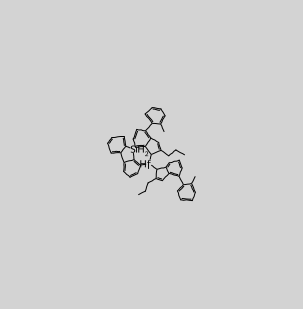 CCCC1=Cc2c(-c3ccccc3C)cccc2[CH]1[Hf]([c]1cccc2c1[SiH2]c1ccccc1-2)[CH]1C(CCC)=Cc2c(-c3ccccc3C)cccc21